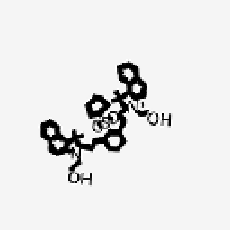 CC1(C)C(/C=C/C2=C(S(=O)(=O)c3ccccc3)C(=C/C=C3/N(CCO)c4ccc5ccccc5c4C3(C)C)/CCC2)=[N+](CCO)c2ccc3ccccc3c21